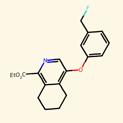 CCOC(=O)c1ncc(Oc2cccc(CF)c2)c2c1CCCC2